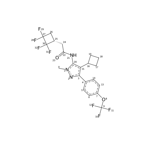 Cn1nc(-c2ccc(OC(F)(F)F)cc2)c(C2CCC2)c1NC(=O)C[C@H]1CC(F)(F)C1(F)F